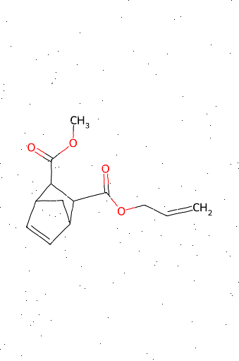 C=CCOC(=O)C1C2C=CC(C2)C1C(=O)OC